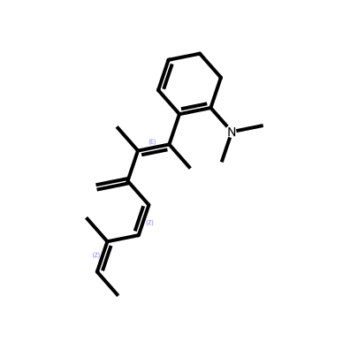 C=C(/C=C\C(C)=C/C)/C(C)=C(\C)C1=C(N(C)C)CCC=C1